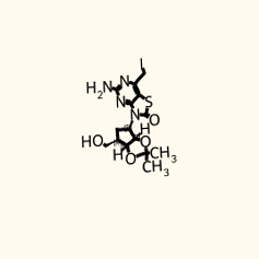 CC1(C)O[C@@H]2[C@@H](CO)C[C@@H](n3c(=O)sc4c(CI)nc(N)nc43)[C@@H]2O1